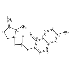 C=C1CCC2(CN(Cc3cnc4cc(C(C)(C)C)ccn4c3=O)C2)N1C